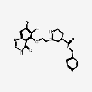 O=C(OCc1ccccc1)N1CCN[C@H](CCOc2c(Cl)c(Br)cc3nc[nH]c(=O)c23)C1